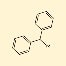 [Pd][CH](c1ccccc1)c1ccccc1